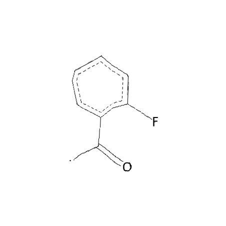 [CH2]C(=O)c1ccccc1F